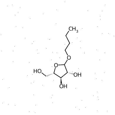 CCCCOC1O[C@@H](CO)[C@H](O)[C@H]1O